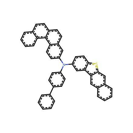 c1ccc(-c2ccc(N(c3ccc4c(ccc5ccc6ccccc6c54)c3)c3ccc4sc5cc6ccccc6cc5c4c3)cc2)cc1